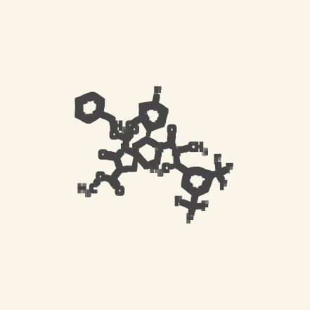 COC(=O)C1C[C@@]2(CCN(C(=O)N(C)[C@H](C)c3cc(C(F)(F)F)cc(C(F)(F)F)c3)[C@@H](c3ccc(F)cc3C)C2)N(C(=O)OCc2ccccc2)C1=O